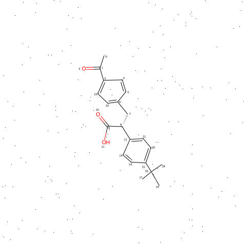 CC(=O)c1ccc(C[C@@H](C(=O)O)c2ccc(C(C)(C)C)cc2)cc1